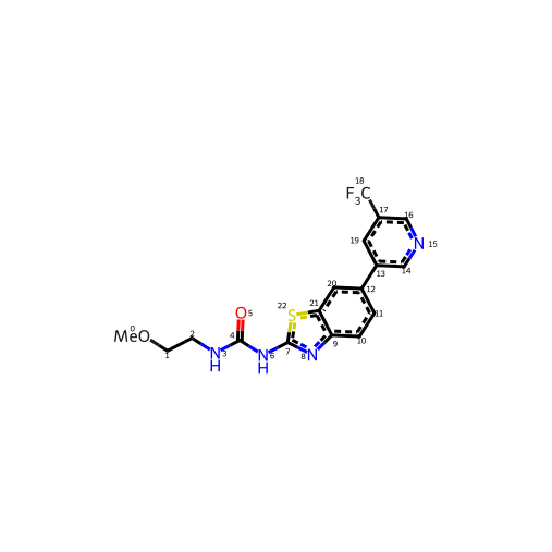 COCCNC(=O)Nc1nc2ccc(-c3cncc(C(F)(F)F)c3)cc2s1